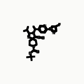 CC(C)C1=NC2(CCN(C(=O)OC(C)(C)C)CC2)C(=C=O)N1C(C)c1ccc(-n2cc(F)cn2)nc1